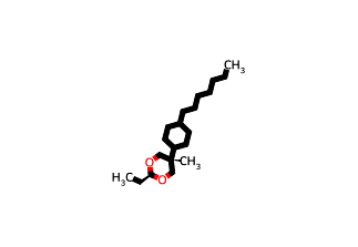 CCCCCCCC1CCC([C@]2(C)CO[C@H](CC)OC2)CC1